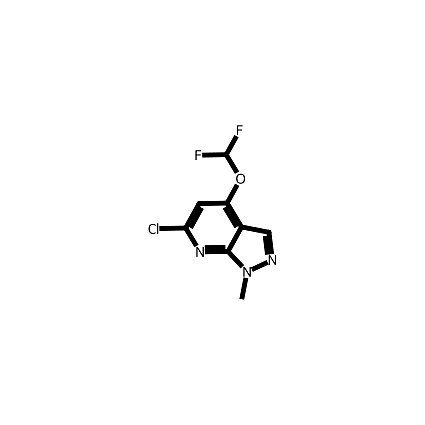 Cn1ncc2c(OC(F)F)cc(Cl)nc21